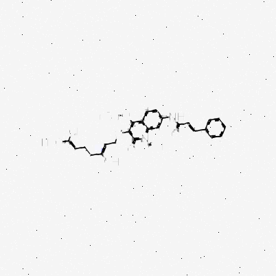 CCCCOc1c(OC/C=C(\C)CCC=C(C)C)c(=O)n(C)c2cc(NC(=O)C=Cc3ccccc3)ccc12